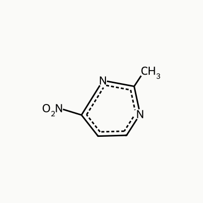 Cc1nccc([N+](=O)[O-])n1